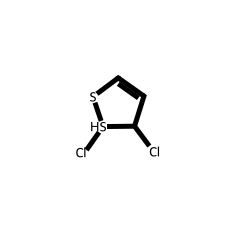 ClC1C=CS[SH]1Cl